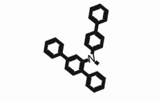 CN(c1ccc(-c2ccccc2)cc1)c1cc(-c2ccccc2)ccc1-c1ccccc1